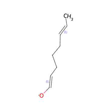 C/C=C/CCC/C=C/[O]